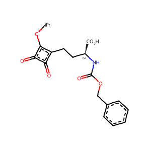 CC(C)Oc1c(CC[C@H](NC(=O)OCc2ccccc2)C(=O)O)c(=O)c1=O